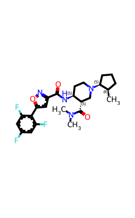 C[C@@H]1CCC[C@@H]1N1CC[C@H](NC(=O)c2cc(-c3c(F)cc(F)cc3F)on2)[C@@H](C(=O)N(C)C)C1